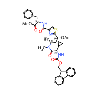 COC(=O)[C@H](Cc1ccccc1)NC(=O)c1csc([C@@H](C[C@H](C(C)C)N(C)C(=O)[C@@H](NC(=O)OCC2c3ccccc3-c3ccccc32)C2CC2)OC(C)=O)n1